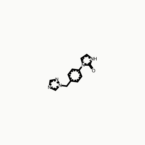 O=c1[nH]ccn1-c1ccc(Cn2cncn2)cc1